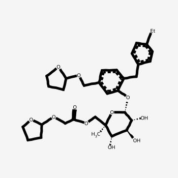 CCc1ccc(Cc2ccc(COC3CCCO3)cc2O[C@H]2O[C@](C)(COC(=O)COC3CCCO3)[C@@H](O)[C@H](O)[C@H]2O)cc1